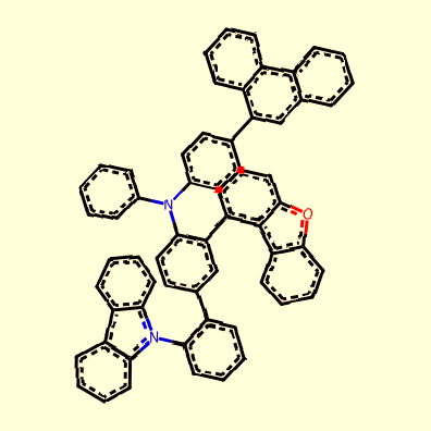 c1ccc(N(c2ccc(-c3cc4ccccc4c4ccccc34)cc2)c2ccc(-c3ccccc3-n3c4ccccc4c4ccccc43)cc2-c2cccc3oc4ccccc4c23)cc1